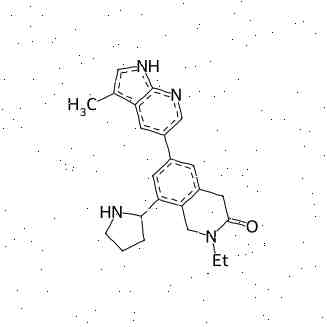 CCN1Cc2c(cc(-c3cnc4[nH]cc(C)c4c3)cc2C2CCCN2)CC1=O